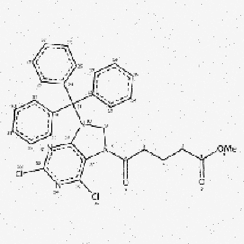 COC(=O)CCCC(=O)N1CN(C(c2ccccc2)(c2ccccc2)c2ccccc2)c2nc(Cl)nc(Cl)c21